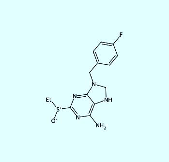 CC[S+]([O-])c1nc(N)c2c(n1)N(Cc1ccc(F)cc1)CN2